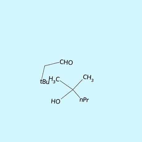 CC(C)(C)CC=O.CCCC(C)(C)O